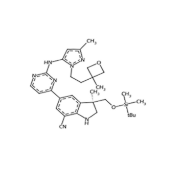 Cc1cc(Nc2nccc(-c3cc(C#N)c4c(c3)[C@@](C)(CO[Si](C)(C)C(C)(C)C)CN4)n2)n(CCC2(C)COC2)n1